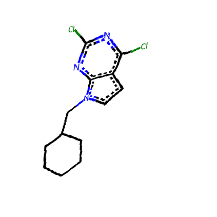 Clc1nc(Cl)c2ccn(CC3CCCCC3)c2n1